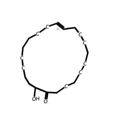 O=C1CCCCCCCCC/C=C/CCCCCCCCC1O